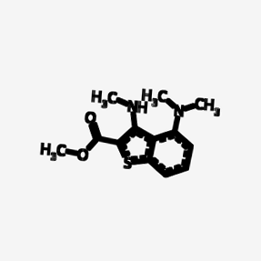 CNc1c(C(=O)OC)sc2cccc(N(C)C)c12